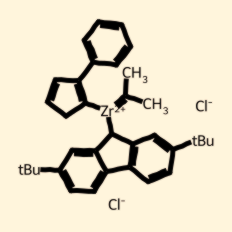 C[C](C)=[Zr+2]([C]1=C(c2ccccc2)C=CC1)[CH]1c2cc(C(C)(C)C)ccc2-c2ccc(C(C)(C)C)cc21.[Cl-].[Cl-]